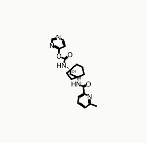 Cc1cccc(C(=O)N[C@]23CCC[C@](NC(=O)Oc4ccncn4)(CC2)C3)n1